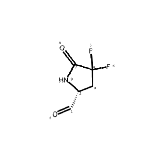 O=C[C@H]1CC(F)(F)C(=O)N1